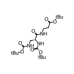 CC(C)(C)OC(=O)CCNC(=O)[C@H](CNC(=O)OC(C)(C)C)NC(=O)OC(C)(C)C